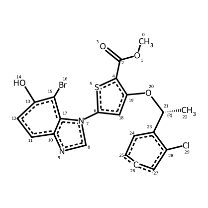 COC(=O)c1sc(-n2cnc3ccc(O)c(Br)c32)cc1O[C@H](C)c1ccccc1Cl